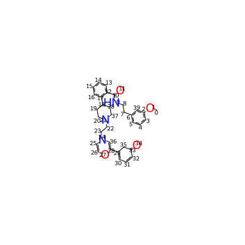 COc1cccc(CCNC(=O)c2ccccc2C2CCN(CCN3C=COC(C4=CC=CC(=O)C4)=C3)CC2)c1